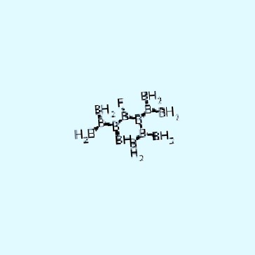 BB(B)B(B)B(F)B(B(B)B)B(B)B